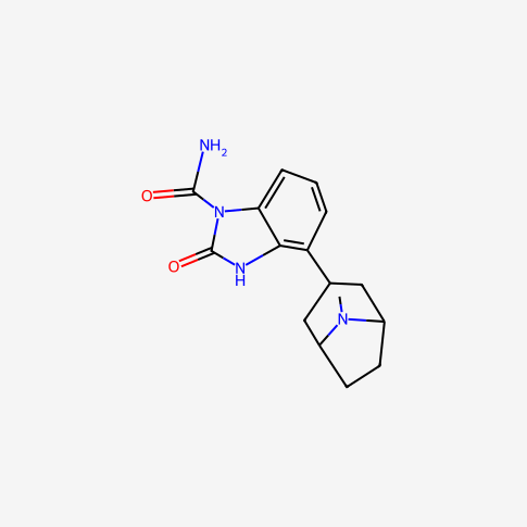 CN1C2CCC1CC(c1cccc3c1[nH]c(=O)n3C(N)=O)C2